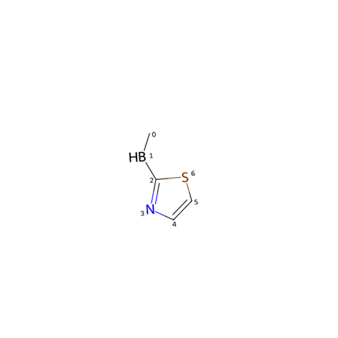 CBc1nccs1